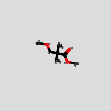 CC(C)(C)OCC(C)(C)C(=O)OC(C)(C)C